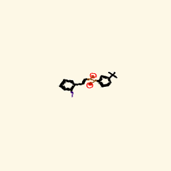 CC(C)(C)c1cccc(S(=O)(=O)C=Cc2ccccc2I)c1